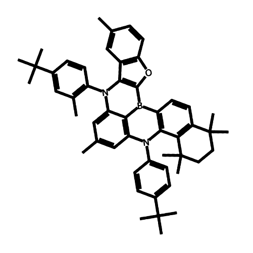 Cc1cc2c3c(c1)N(c1ccc(C(C)(C)C)cc1C)c1c(oc4ccc(C)cc14)B3c1ccc3c(c1N2c1ccc(C(C)(C)C)cc1)C(C)(C)CCC3(C)C